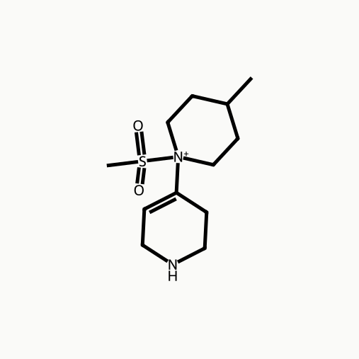 CC1CC[N+](C2=CCNCC2)(S(C)(=O)=O)CC1